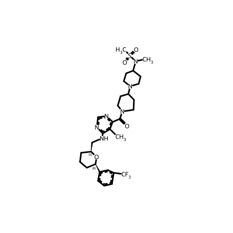 Cc1c(NC[C@@H]2CCC[C@H](c3cccc(C(F)(F)F)c3)O2)ncnc1C(=O)N1CCC(N2CCC(N(C)S(C)(=O)=O)CC2)CC1